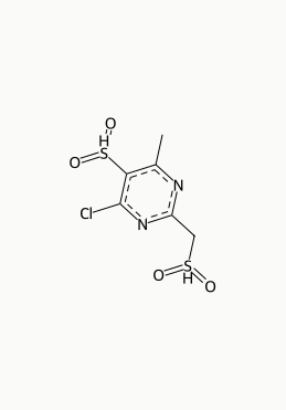 Cc1nc(C[SH](=O)=O)nc(Cl)c1[SH](=O)=O